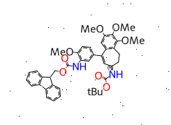 COc1ccc(C2=C[C@H](NC(=O)OC(C)(C)C)CCc3c2cc(OC)c(OC)c3OC)cc1NC(=O)OCC1c2ccccc2-c2ccccc21